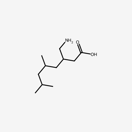 CC(C)CC(C)CC(CN)CC(=O)O